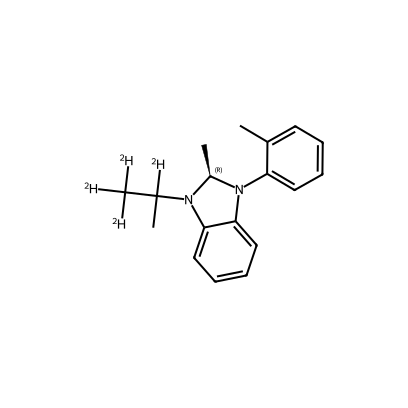 [2H]C([2H])([2H])C([2H])(C)N1c2ccccc2N(c2ccccc2C)[C@@H]1C